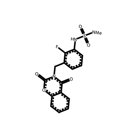 CNS(=O)(=O)Nc1cccc(Cn2c(=O)oc3c[c]ccc3c2=O)c1F